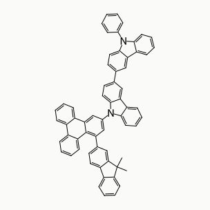 CC1(C)c2ccccc2-c2ccc(-c3cc(-n4c5ccccc5c5cc(-c6ccc7c(c6)c6ccccc6n7-c6ccccc6)ccc54)cc4c5ccccc5c5ccccc5c34)cc21